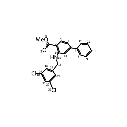 COC(=O)c1ccc(-c2ccccc2)cc1NCc1cc(Cl)cc(Cl)c1